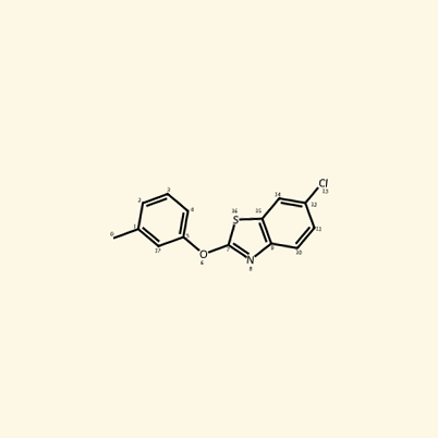 Cc1cccc(Oc2nc3ccc(Cl)cc3s2)c1